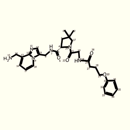 CC1(C)C[C@@H](C(=O)NCc2cnc3c(CN)cccn23)N(C(=O)CNC(=O)CCCOc2ccccc2)C1